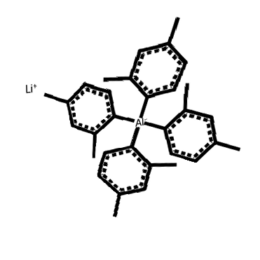 Cc1cc[c]([Al-]([c]2ccc(C)cc2C)([c]2ccc(C)cc2C)[c]2ccc(C)cc2C)c(C)c1.[Li+]